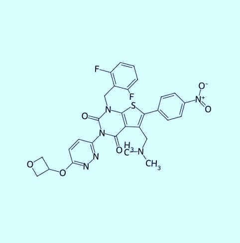 CN(C)Cc1c(-c2ccc([N+](=O)[O-])cc2)sc2c1c(=O)n(-c1ccc(OC3COC3)nn1)c(=O)n2Cc1c(F)cccc1F